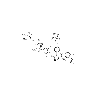 COc1cc(C(C)(C)c2cnc(SCc3c(F)cc(S(=O)(=O)N(C)[C@H](CCCC[N+](C)(C)C)C(=O)O)cc3F)n2-c2ccc(F)cc2)ccc1Cl.O=C([O-])C(F)(F)F